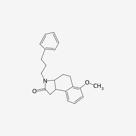 COc1cccc2c1CCC1C2CC(=O)N1CCCc1ccccc1